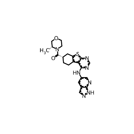 C[C@@H]1COCCN1C(=O)[C@H]1CCc2c(sc3ncnc(Nc4cnc5[nH]ncc5c4)c23)C1